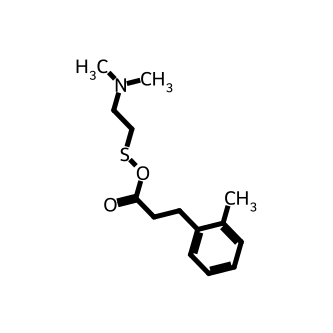 Cc1ccccc1CCC(=O)OSCCN(C)C